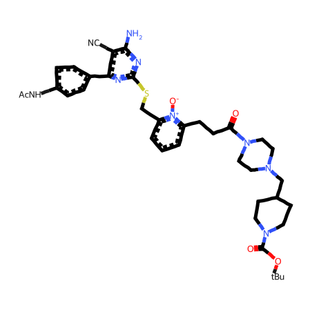 CC(=O)Nc1ccc(-c2nc(SCc3cccc(CCC(=O)N4CCN(CC5CCN(C(=O)OC(C)(C)C)CC5)CC4)[n+]3[O-])nc(N)c2C#N)cc1